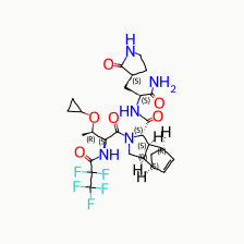 C[C@@H](OC1CC1)[C@H](NC(=O)C(F)(F)C(F)(F)F)C(=O)N1C[C@H]2[C@@H]([C@H]1C(=O)N[C@@H](C[C@@H]1CCNC1=O)C(N)=O)[C@H]1C=C[C@@H]2C1